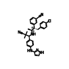 C[C@H](NC(c1ccc(Nc2cc[nH]n2)cc1)C(C)(C)C#N)[C@@H](Cc1ccc(Cl)cc1)c1cccc(C#N)c1